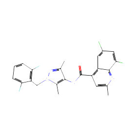 Cc1nn(Cc2c(F)cccc2F)c(C)c1NC(=O)c1cc(C(F)(F)F)nc2c(Cl)cc(Cl)cc12